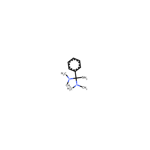 CN(C)C([SiH3])(c1ccccc1)N(C)C